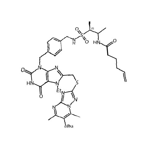 C=CCCCC(=O)NC(C)[C@H](C)S(=O)(=O)NCc1ccc(Cn2c(=O)[nH]c(=O)c3c2nc(CSc2nc4nc(C)c(CCCC)c(C)n4n2)n3CC)cc1